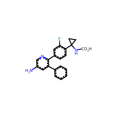 Nc1cnc(-c2ccc(C3(NC(=O)O)CC3)c(F)c2)c(-c2ccccc2)c1